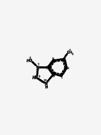 Cc1ccc2c(c1)N(O)NN2